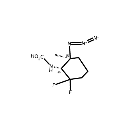 C[C@]1(N=[N+]=[N-])CCCC(F)(F)[C@@H]1NC(=O)O